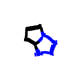 b1ccc2[nH]nnn12